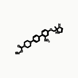 CC1(COc2ccc(-c3ccc(N4CCN(C(=O)OC(C)(C)C)CC4)cc3)c([N+](=O)[O-])c2)NC=CN1